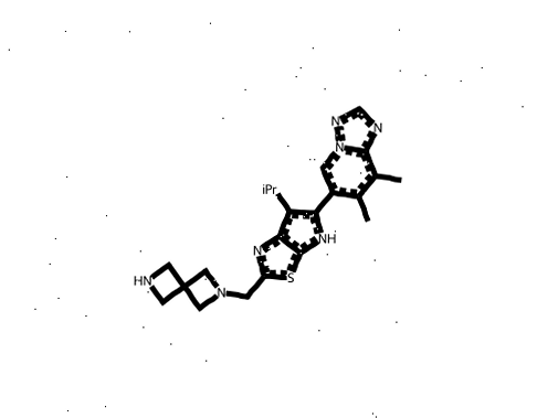 Cc1c(-c2[nH]c3sc(CN4CC5(CNC5)C4)nc3c2C(C)C)cn2ncnc2c1C